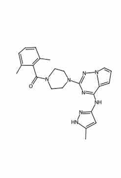 Cc1cc(Nc2nc(N3CCN(C(=O)c4c(C)cccc4C)CC3)nn3cccc23)n[nH]1